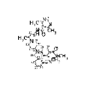 Cc1ncnc(C)c1C(=O)NCCC(C)N1CCC(N(Cc2cccc(C#N)c2)c2ccc(C(=O)N(C)C)cc2)CC1